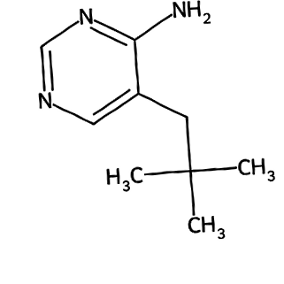 CC(C)(C)Cc1cncnc1N